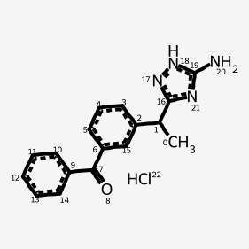 CC(c1cccc(C(=O)c2ccccc2)c1)c1n[nH]c(N)n1.Cl